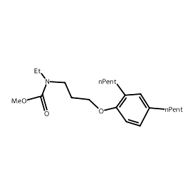 CCCCCc1ccc(OCCCN(CC)C(=O)OC)c(CCCCC)c1